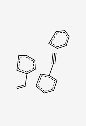 C#Cc1ccccc1.C=Cc1ccccc1.c1ccccc1